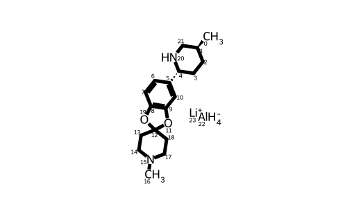 C[C@H]1CC[C@H](c2ccc3c(c2)OC2(CCN(C)CC2)O3)NC1.[AlH4-].[Li+]